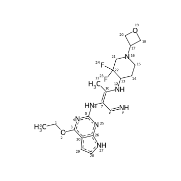 CCOc1nc(N/C(C=N)=C(\C)NC2CCN(C3COC3)CC2(F)F)nc2[nH]ccc12